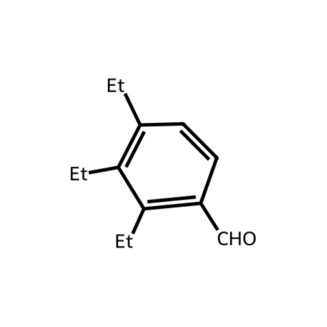 CCc1ccc(C=O)c(CC)c1CC